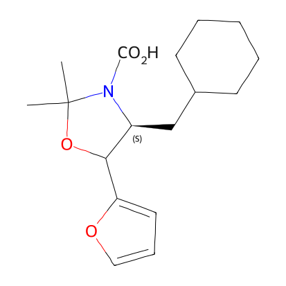 CC1(C)OC(c2ccco2)[C@H](CC2CCCCC2)N1C(=O)O